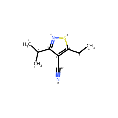 CCc1snc(C(C)C)c1C#N